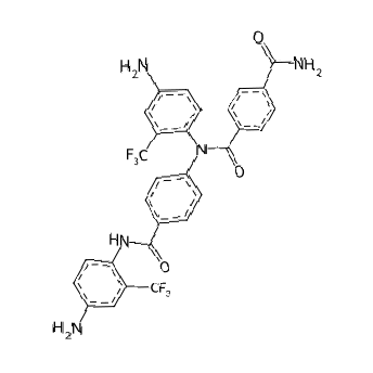 NC(=O)c1ccc(C(=O)N(c2ccc(C(=O)Nc3ccc(N)cc3C(F)(F)F)cc2)c2ccc(N)cc2C(F)(F)F)cc1